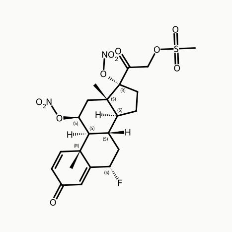 C[C@]12C=CC(=O)C=C1[C@@H](F)C[C@@H]1[C@@H]2[C@@H](O[N+](=O)[O-])C[C@@]2(C)[C@H]1CC[C@]2(O[N+](=O)[O-])C(=O)COS(C)(=O)=O